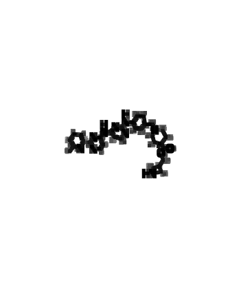 Cc1cccc(-c2nccc(Nc3ccnc(Nc4ccc(CN5CCC(C(=O)OCC6CNC6)CC5)cc4)n3)n2)n1